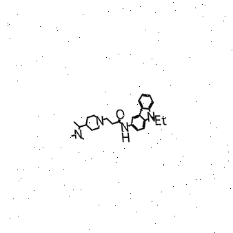 CCn1c2ccccc2c2cc(NC(=O)CCN3CCC(C(C)N(C)C)CC3)ccc21